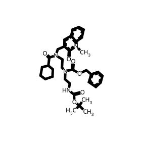 Cn1c(=O)c(CN(CCN(CCNC(=O)OC(C)(C)C)C(=O)OCc2ccccc2)C(=O)C2CCCCC2)cc2ccccc21